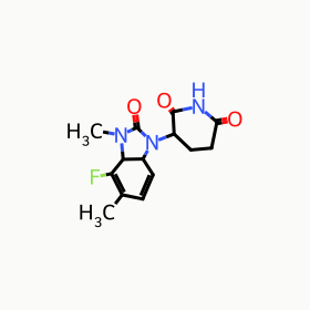 CC1=C(F)C2C(C=C1)N(C1CCC(=O)NC1=O)C(=O)N2C